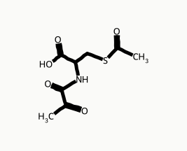 CC(=O)SCC(NC(=O)C(C)=O)C(=O)O